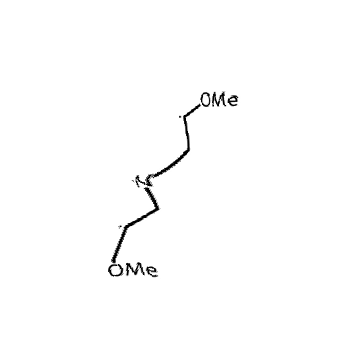 CO[CH]C[N]C[CH]OC